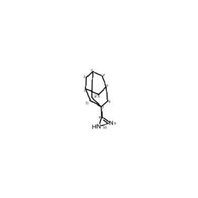 C1C2CC3CC1CC(C1=NN1)(C2)C3